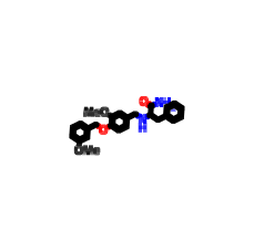 COc1cccc(COc2ccc(CNC(Cc3ccccc3)C(N)=O)cc2OC)c1